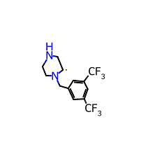 FC(F)(F)c1cc(CN2[CH]CNCC2)cc(C(F)(F)F)c1